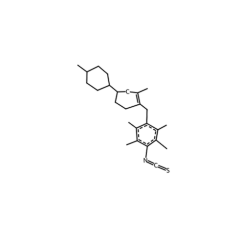 CC1=C(Cc2c(C)c(C)c(N=C=S)c(C)c2C)CCC(C2CCC(C)CC2)C1